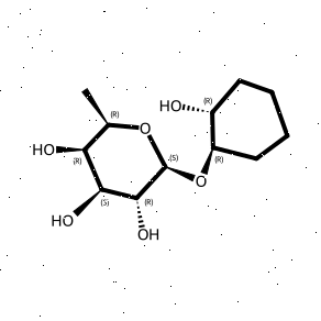 C[C@H]1O[C@@H](O[C@@H]2CCCC[C@H]2O)[C@H](O)[C@@H](O)[C@H]1O